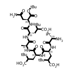 CC(C)[C@H](N)C(=O)N[C@@H](CC(C(=O)O)C(C)(C)C)C(=O)N[C@@H](CC(C(=O)O)C(C)(C)C)C(=O)N[C@@H](C)C(=O)N[C@@H](CC(C(=O)O)C(C)(C)C)C(=O)N[C@@H](CC(N)=O)C(=O)OC(C)(C)C